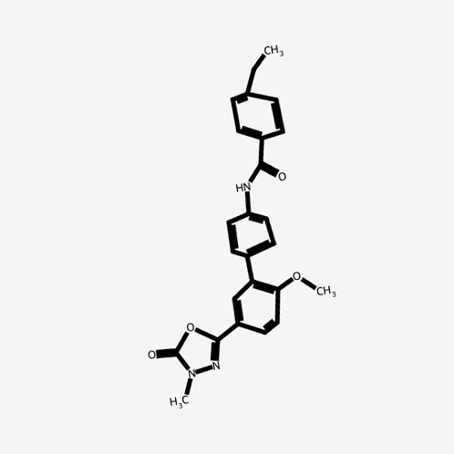 CCc1ccc(C(=O)Nc2ccc(-c3cc(-c4nn(C)c(=O)o4)ccc3OC)cc2)cc1